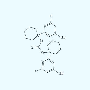 CC(C)(C)c1cc(F)cc(C2(OC(=O)OC3(c4cc(F)cc(C(C)(C)C)c4)CCCCC3)CCCCC2)c1